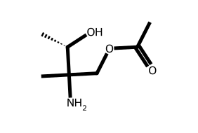 CC(=O)OCC(C)(N)[C@H](C)O